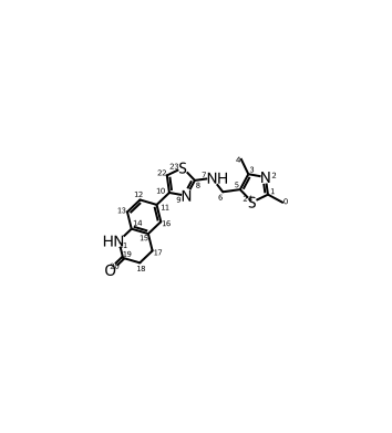 Cc1nc(C)c(CNc2nc(-c3ccc4c(c3)CCC(=O)N4)cs2)s1